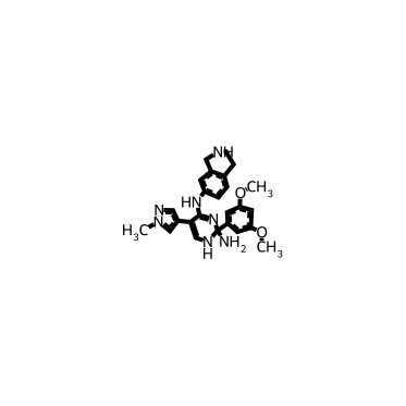 COc1cc(OC)cc(C2(N)N=C(Nc3ccc4c(c3)CNCC4)C(c3cnn(C)c3)=CN2)c1